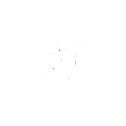 CC(C)(C)CC(C)(C)N.NCCCO